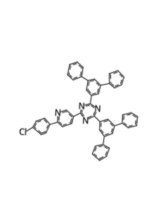 Clc1ccc(-c2ccc(-c3nc(-c4cc(-c5ccccc5)cc(-c5ccccc5)c4)nc(-c4cc(-c5ccccc5)cc(-c5ccccc5)c4)n3)cn2)cc1